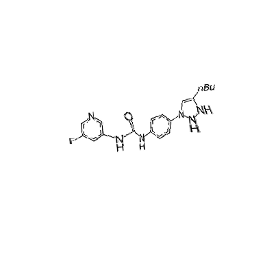 CCCCC1=CN(c2ccc(NC(=O)Nc3cncc(F)c3)cc2)NN1